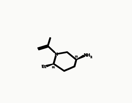 C=C(C)N1C[C@@H](N)CC[C@H]1CC